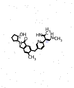 CN/C=C(\C(C)=N)c1ccc(Cc2cc3c(cc2C)CN([C@H]2CCC[C@@H]2O)C3=O)cn1